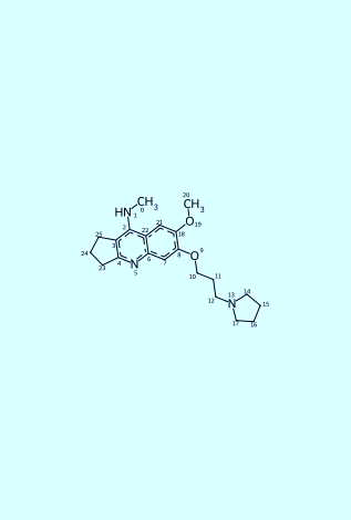 CNc1c2c(nc3cc(OCCCN4CCCC4)c(OC)cc13)CCC2